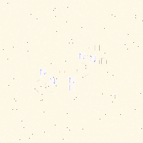 Cc1nc2cc(NC(=O)Cn3cnc4cccc(F)c43)ccc2n1C(C)C